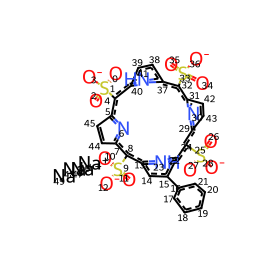 O=S(=O)([O-])c1c2nc(c(S(=O)(=O)[O-])c3cc(-c4ccccc4)c([nH]3)c(S(=O)(=O)[O-])c3nc(c(S(=O)(=O)[O-])c4ccc1[nH]4)C=C3)C=C2.[Na+].[Na+].[Na+].[Na+]